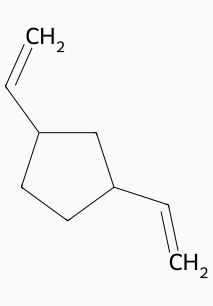 C=CC1CCC(C=C)C1